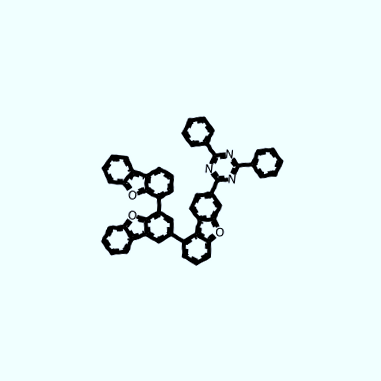 c1ccc(-c2nc(-c3ccccc3)nc(-c3ccc4c(c3)oc3cccc(-c5cc(-c6cccc7c6oc6ccccc67)c6oc7ccccc7c6c5)c34)n2)cc1